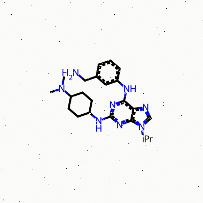 CC(C)n1cnc2c(Nc3cccc(CN)c3)nc(NC3CCC(N(C)C)CC3)nc21